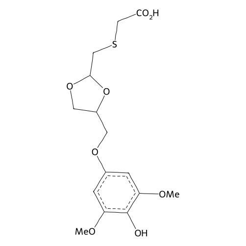 COc1cc(OCC2COC(CSCC(=O)O)O2)cc(OC)c1O